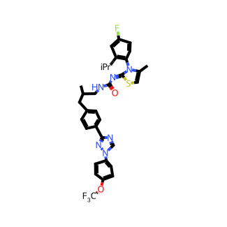 Cc1cs/c(=N\C(=O)NCC(C)Cc2ccc(-c3ncn(-c4ccc(OC(F)(F)F)cc4)n3)cc2)n1-c1ccc(F)cc1C(C)C